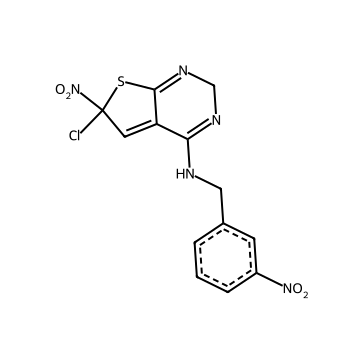 O=[N+]([O-])c1cccc(CNC2=NCN=C3SC(Cl)([N+](=O)[O-])C=C23)c1